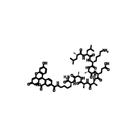 CC(C)C[C@H](NC(=O)[C@@H](C)CC(C)C)C(=O)N[C@@H](CCCCN)C(=O)N[C@@H](C)C(=O)N[C@@H](CCC(=O)O)C(=O)N[C@@H](C)C(=O)N[C@@H](C)C(=O)N[C@@H](C)C(=O)N[C@@H](CCCCNC(=O)c1ccc(-c2c3ccc(=O)cc-3oc3cc(O)ccc23)c(C(=O)O)c1)C(N)=O